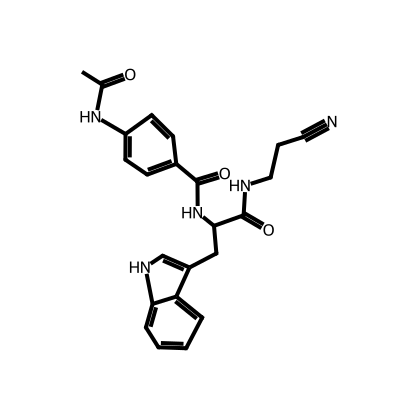 CC(=O)Nc1ccc(C(=O)NC(Cc2c[nH]c3ccccc23)C(=O)NCCC#N)cc1